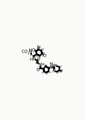 O=C(O)C[C@@H](NC(=O)CNC(=O)c1cccc(NC2=NCC(F)CN2)c1)c1cc(Cl)cc(Br)c1O